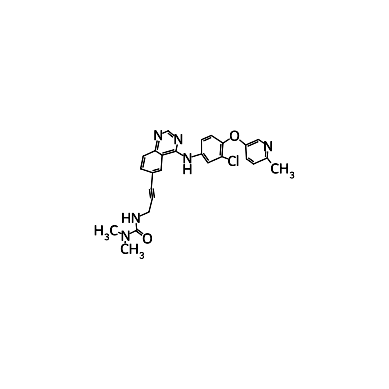 Cc1ccc(Oc2ccc(Nc3ncnc4ccc(C#CCNC(=O)N(C)C)cc34)cc2Cl)cn1